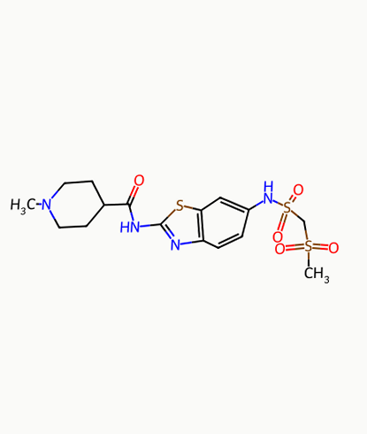 CN1CCC(C(=O)Nc2nc3ccc(NS(=O)(=O)CS(C)(=O)=O)cc3s2)CC1